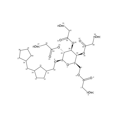 CCCCCCCCCCCC(=O)OC[C@H]1O[C@@H](OCC2CCC(CC3CCCC3)C2)[C@H](OC(=O)CCCCCCCCCCC)[C@@H](OC(=O)CCCCCCCCCCC)[C@H]1OC(=O)CCCCCCCCCCC